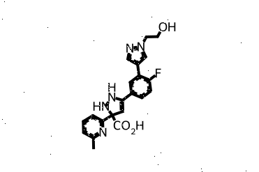 Cc1cccc(C2(C(=O)O)C=C(c3ccc(F)c(-c4cnn(CCO)c4)c3)NN2)n1